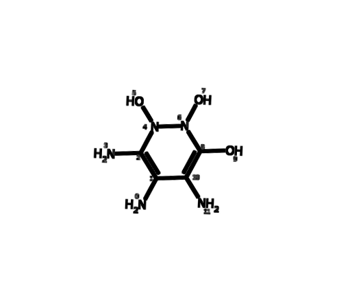 NC1=C(N)N(O)N(O)C(O)=C1N